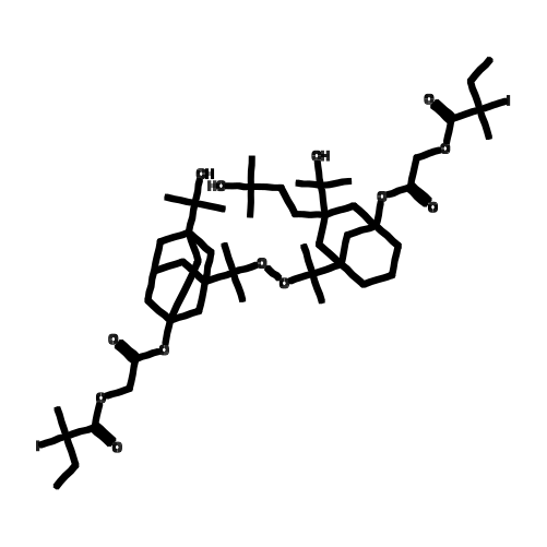 CCC(C)(I)C(=O)OCC(=O)OC12CCCC(C(C)(C)OOC(C)(C)C34CC5CC(OC(=O)COC(=O)C(C)(I)CC)(CC(C(C)(C)O)(C5)C3)C4)(C1)CC(CCC(C)(C)O)(C(C)(C)O)C2